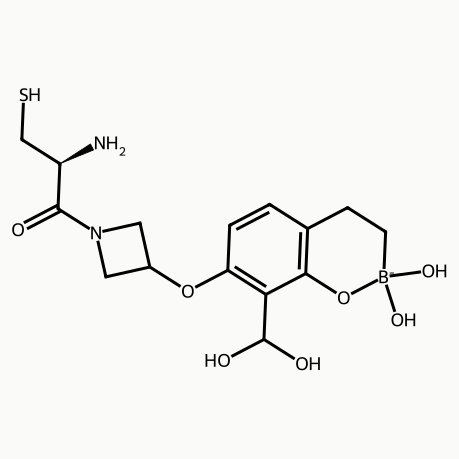 N[C@H](CS)C(=O)N1CC(Oc2ccc3c(c2C(O)O)O[B-](O)(O)CC3)C1